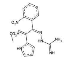 C=C(C(=NNC(=N)N)c1ccccc1[N+](=O)[O-])c1ccc[nH]1.CC(=O)O